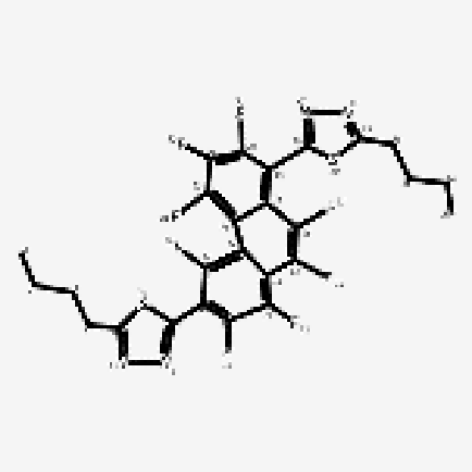 CCCCc1nnc(-c2c(F)c(F)c3c(F)c(F)c4c(-c5nnc(CCCC)s5)c(F)c(F)c(F)c4c3c2F)s1